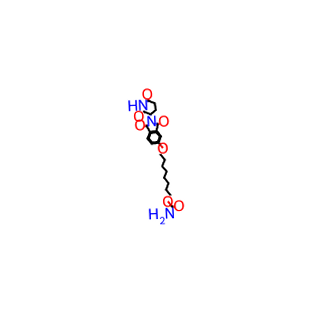 NC(=O)OCCCCCCCCOc1ccc2c(c1)C(=O)N(C1CCC(=O)NC1=O)C2=O